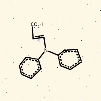 O=C(O)/C=C/N(c1ccccc1)c1ccccc1